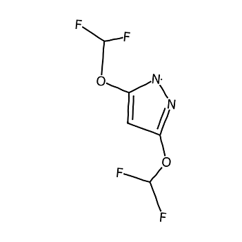 FC(F)OC1=CC(OC(F)F)=N[N]1